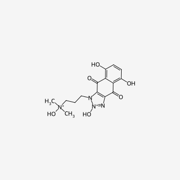 C[N+](C)(O)CCCn1c2c(n[n+]1O)C(=O)c1c(O)ccc(O)c1C2=O